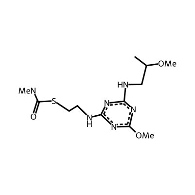 CNC(=O)SCCNc1nc(NCC(C)OC)nc(OC)n1